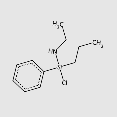 CCC[Si](Cl)(NCC)c1ccccc1